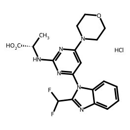 C[C@H](Nc1nc(N2CCOCC2)cc(-n2c(C(F)F)nc3ccccc32)n1)C(=O)O.Cl